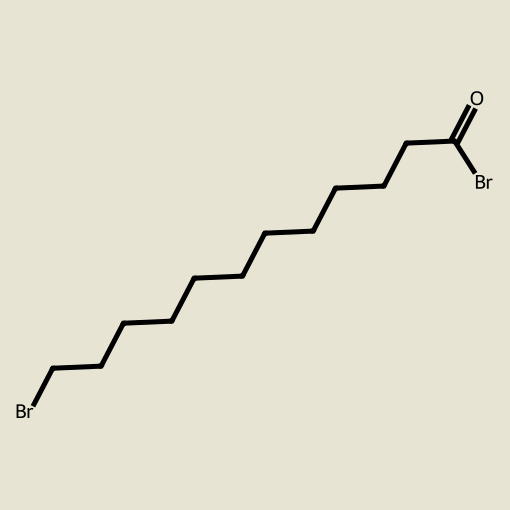 O=C(Br)CCCCCCCCCCCBr